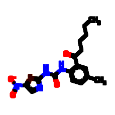 CCCCCC(=O)c1cc(C)ccc1NC(=O)Nc1ncc([N+](=O)[O-])s1